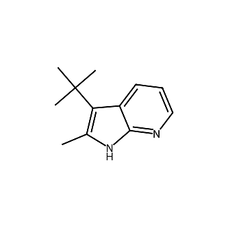 Cc1[nH]c2ncccc2c1C(C)(C)C